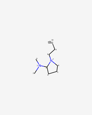 CN(C)C1CCCN1CCC(C)(C)C